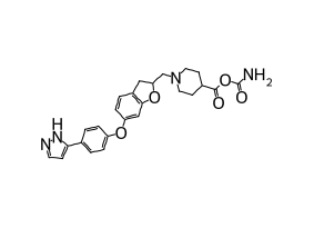 NC(=O)OC(=O)C1CCN(CC2Cc3ccc(Oc4ccc(-c5ccn[nH]5)cc4)cc3O2)CC1